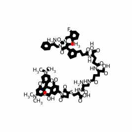 Cc1c(-c2cccc(CCC(=O)NC(CCC(=O)NC(CCC(=O)NCC(N)C(=O)NC(CSC3CC(=O)N(c4cc(C(=O)[O-])c(-c5c6ccc(=[N+](C)C)cc-6oc6cc(N(C)C)ccc56)c(C(=O)O)c4)C3=O)C(=O)O)C(=O)O)C(=O)O)c2)c(=O)n(C[C@H](N)c2ccccc2)c(=O)n1Cc1c(F)cccc1F